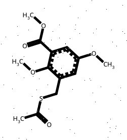 COC(=O)c1cc(OC)cc(CSC(C)=O)c1OC